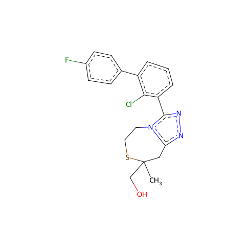 CC1(CO)Cc2nnc(-c3cccc(-c4ccc(F)cc4)c3Cl)n2CCS1